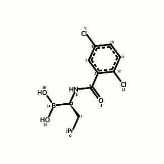 CC(C)C[C@H](NC(=O)c1cc(Cl)ccc1Cl)B(O)O